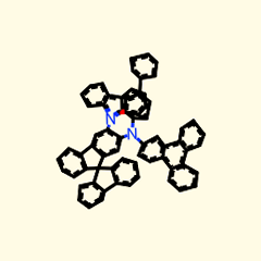 c1ccc(-c2ccc(N(c3ccc4c5ccccc5c5ccccc5c4c3)c3cc4c(cc3-n3c5ccccc5c5ccccc53)-c3ccccc3C43c4ccccc4-c4ccccc43)cc2)cc1